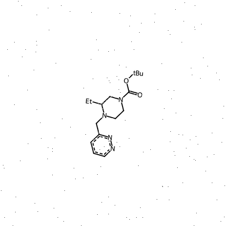 CCC1CN(C(=O)OC(C)(C)C)CCN1Cc1cccnn1